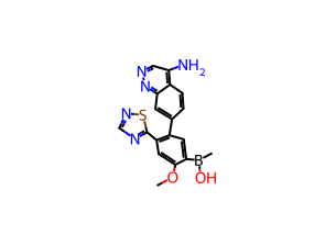 COc1cc(-c2ncns2)c(-c2ccc3c(N)cnnc3c2)cc1B(C)O